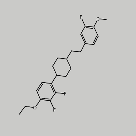 CCOc1ccc(C2CCC(CCc3ccc(OC)c(F)c3)CC2)c(F)c1F